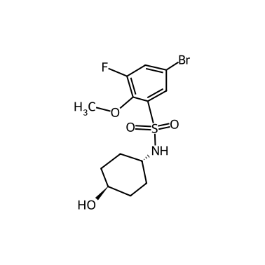 COc1c(F)cc(Br)cc1S(=O)(=O)N[C@H]1CC[C@H](O)CC1